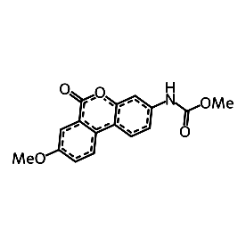 COC(=O)Nc1ccc2c(c1)oc(=O)c1cc(OC)ccc12